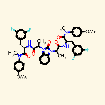 COc1ccc(N(C)C(=O)C(Cc2cc(F)cc(F)c2)NC(=O)C(C)n2c(=O)n(C(C)C(=O)N[C@@H](Cc3cc(F)cc(F)c3)C(=O)N(C)c3ccc(OC)cc3)c3ccccc32)cc1